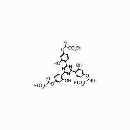 CCOC(=O)C(CC)Oc1ccc(-c2nc(-c3ccc(OC(CC)C(=O)OCC)cc3O)nc(-c3ccc(OC(CC)C(=O)OCC)cc3O)n2)c(O)c1